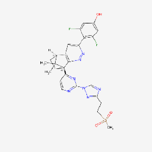 CC1(C)[C@H]2CC[C@@]1(c1ccnc(-n3cnc(CCS(C)(=O)=O)n3)n1)c1nnc(-c3c(F)cc(O)cc3F)cc12